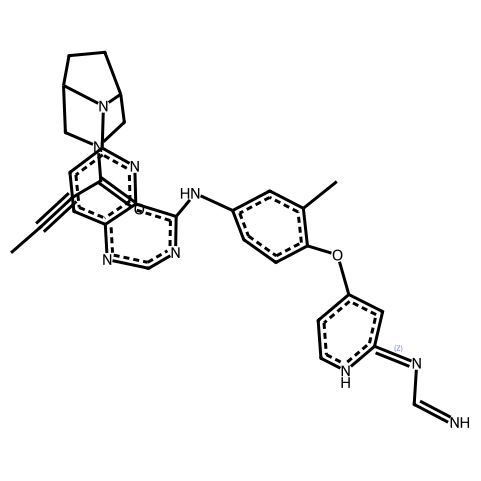 CC#CC(=O)N1CC2CCC(C1)N2c1ccc2ncnc(Nc3ccc(Oc4cc[nH]/c(=N\C=N)c4)c(C)c3)c2n1